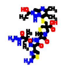 CC1=NC2=CN(C(C)O)NN2C(SCC2(C(=O)O)CS[C@@H]3C(NC(=O)C(=NOC(C)(C)C(=O)NN)c4csc(N)n4)C(=O)N3C2)=C1C